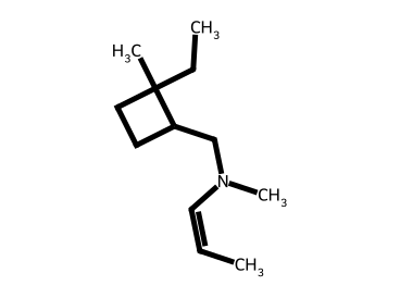 C/C=C\N(C)CC1CCC1(C)CC